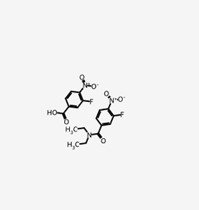 CCN(CC)C(=O)c1ccc([N+](=O)[O-])c(F)c1.O=C(O)c1ccc([N+](=O)[O-])c(F)c1